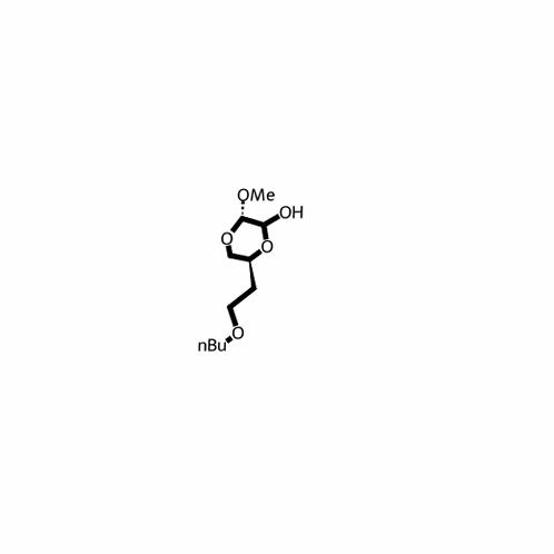 CCCCOCC[C@H]1CO[C@H](OC)C(O)O1